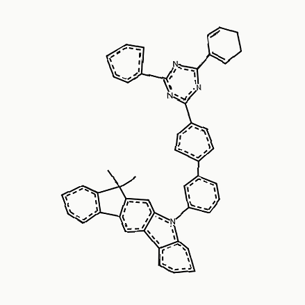 CC1(C)c2ccccc2-c2cc3c4ccccc4n(-c4cccc(-c5ccc(-c6nc(C7=CCCC=C7)nc(-c7ccccc7)n6)cc5)c4)c3cc21